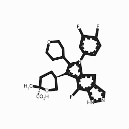 C[C@@]1(C(=O)O)CC[C@@H](c2c(C3CCOCC3)n(-c3ccc(F)c(F)c3)c3cc4cn[nH]c4c(F)c23)CO1